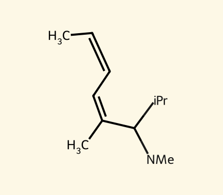 C/C=C\C=C(\C)C(NC)C(C)C